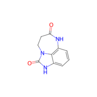 O=C1CCn2c(=O)[nH]c3cccc(c32)N1